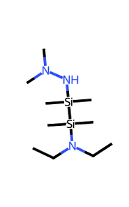 CCN(CC)[Si](C)(C)[Si](C)(C)NN(C)C